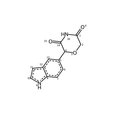 O=C1COC(c2ccc3[nH]ccc3c2)C(=O)N1